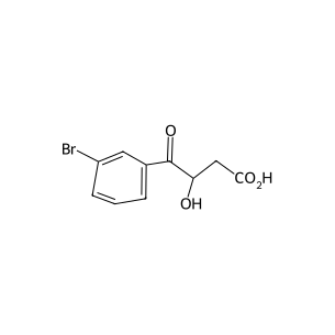 O=C(O)CC(O)C(=O)c1cccc(Br)c1